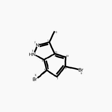 Cc1n[nH]c2c(Br)cc(Br)cc12